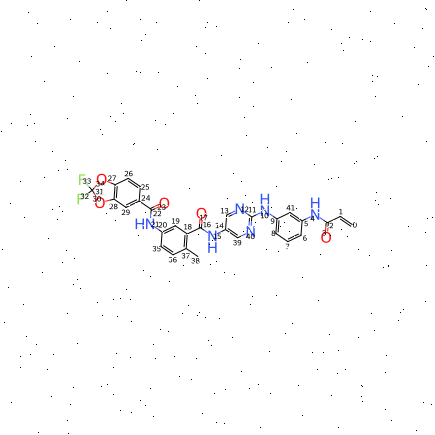 C=CC(=O)Nc1cccc(Nc2ncc(NC(=O)c3cc(NC(=O)c4ccc5c(c4)OC(F)(F)O5)ccc3C)cn2)c1